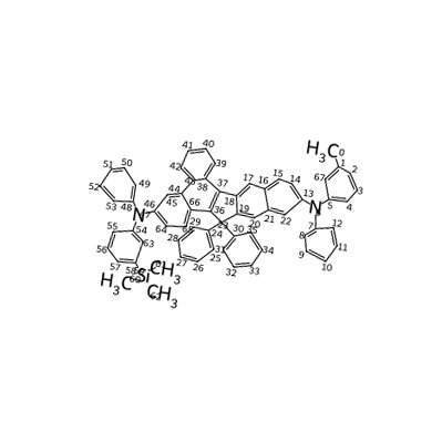 Cc1cccc(N(c2ccccc2)c2ccc3cc4c(cc3c2)C(c2ccccc2)(c2ccccc2)c2c-4c3ccccc3c3cc(N(c4ccccc4)c4cccc([Si](C)(C)C)c4)ccc23)c1